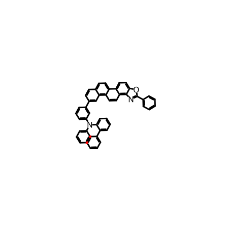 c1ccc(-c2nc3c(ccc4c5ccc6ccc(-c7cccc(N(c8ccccc8)c8ccccc8-c8ccccc8)c7)cc6c5ccc43)o2)cc1